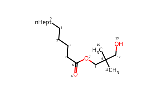 CCCCCCCCCCCC(=O)OCC(C)(C)CO